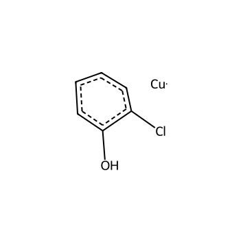 Oc1ccccc1Cl.[Cu]